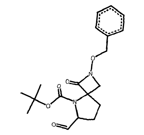 CC(C)(C)OC(=O)N1C(C=O)CCC12CN(OCc1ccccc1)C2=O